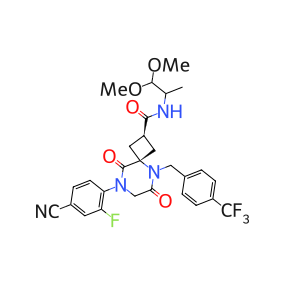 COC(OC)C(C)NC(=O)[C@H]1C[C@]2(C1)C(=O)N(c1ccc(C#N)cc1F)CC(=O)N2Cc1ccc(C(F)(F)F)cc1